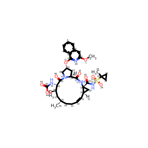 COc1cc2ccccc2c(O[C@@H]2C[C@H]3C(=O)N[C@]4(C(=O)NS(=O)(=O)C5(C)CC5)C[C@H]4C=CCC[C@H](C)C[C@@H](C)[C@H](NC(=O)O)C(=O)N3C2)n1